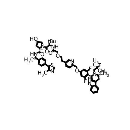 Cc1ncsc1-c1ccc([C@H](C)NC(=O)[C@@H]2C[C@@H](O)CN2C(=O)C(NC(=O)COCCc2ccc(COc3cc(F)c([C@@H]4c5[nH]c6ccccc6c5C[C@@H](C)N4CC(C)(C)F)c(F)c3)nc2)C(C)(C)C)cc1